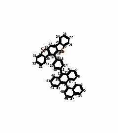 c1ccc2c(-c3c4ccccc4c(-c4ccc(-c5c6sc7ccccc7c6cc6sc7ccccc7c56)cc4)c4ccccc34)cccc2c1